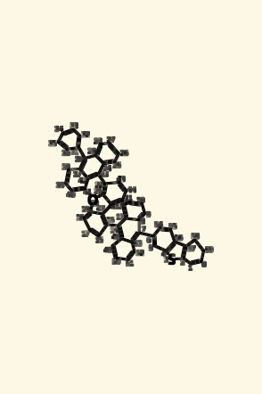 C1=Cc2sc3cc(-c4c5ccccc5c(-c5cccc6oc7c(-c8c9ccccc9c(-c9ccccc9)c9ccccc89)cccc7c56)c5ccccc45)ccc3c2CC1